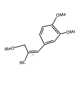 COC/C(C#N)=C\c1ccc(OC)c(OC)c1